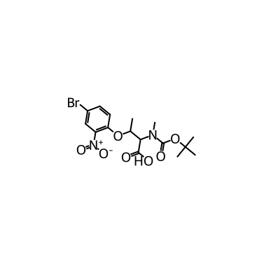 CC(Oc1ccc(Br)cc1[N+](=O)[O-])C(C(=O)O)N(C)C(=O)OC(C)(C)C